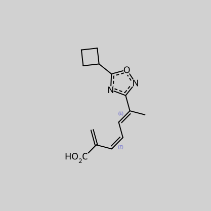 C=C(/C=C\C=C(/C)c1noc(C2CCC2)n1)C(=O)O